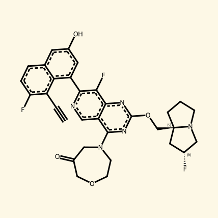 C#Cc1c(F)ccc2cc(O)cc(-c3ncc4c(N5CCOCC(=O)C5)nc(OC[C@@]56CCCN5C[C@H](F)C6)nc4c3F)c12